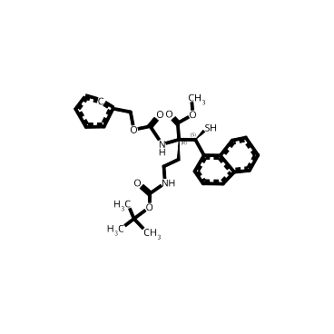 COC(=O)[C@@](CCNC(=O)OC(C)(C)C)(NC(=O)OCc1ccccc1)[C@@H](S)c1cccc2ccccc12